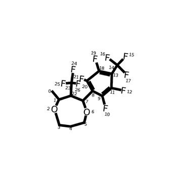 CC1OCCCOC(c2c(F)c(F)c(C(F)(F)F)c(F)c2F)C1C(F)(F)F